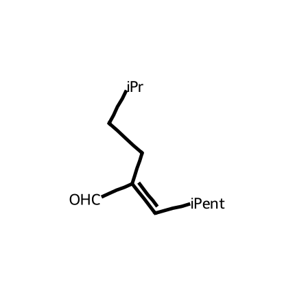 CCCC(C)C=C(C=O)CCC(C)C